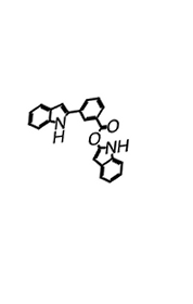 O=C(Oc1cc2ccccc2[nH]1)c1cccc(-c2cc3ccccc3[nH]2)c1